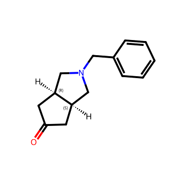 O=C1C[C@@H]2CN(Cc3ccccc3)C[C@@H]2C1